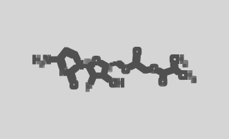 C=C(C)C(=O)OCC(=O)OC[C@H]1O[C@@H](n2ccc(N)nc2=O)C(F)C1O